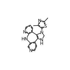 Cc1nc(C)c(N2CNC3=C2c2cccnc2Nc2cnccc23)s1